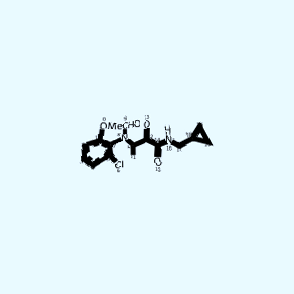 COc1cccc(Cl)c1N(C=O)C(C)C(=O)C(=O)NCC1CC1